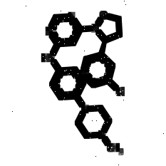 CN1CCN(c2ccc(Nc3cc(N4OCC[C@H]4c4cncc(Cl)c4)ncn3)cc2)CC1